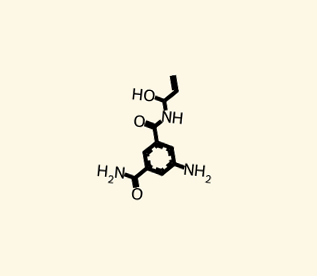 C=CC(O)NC(=O)c1cc(N)cc(C(N)=O)c1